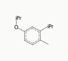 Cc1ccc(OC(C)C)cc1C(C)C